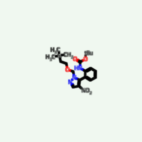 CC(C)(C)OC(=O)Nc1ccccc1-c1c([N+](=O)[O-])cnn1COCC[Si](C)(C)C